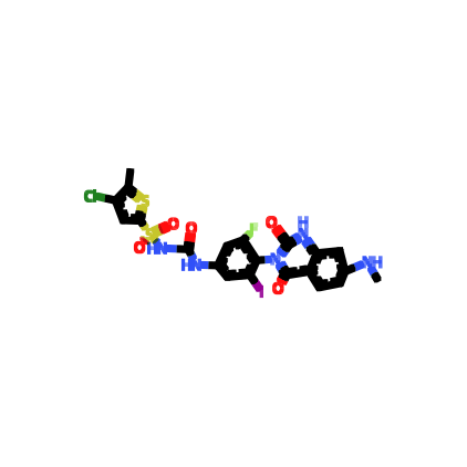 CNc1ccc2c(=O)n(-c3c(F)cc(NC(=O)NS(=O)(=O)c4cc(Cl)c(C)s4)cc3I)c(=O)[nH]c2c1